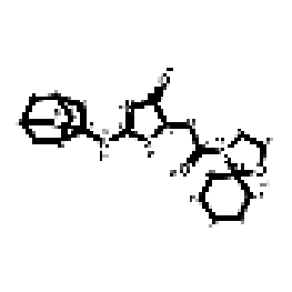 O=C1N=C(NC23CC4CC(CC2C4)C3)SC1CC(=O)N1CCOC12CCCCC2